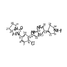 O=C(Nc1ccc(Cl)c(-c2cn3cc(C4=CCNCC4)cnc3n2)c1)N1CCCC1